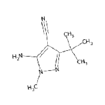 Cn1nc(C(C)(C)C)c(C#N)c1N